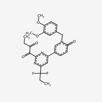 CCC(=O)C(=O)c1nc(-c2ccc(=O)n(Cc3ccc(OC)c(OC)c3)c2)cc(C(F)(F)CC)n1